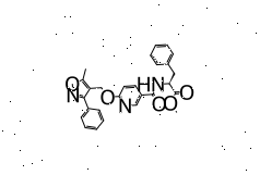 COC(=O)[C@H](Cc1ccccc1)NC(=O)c1ccc(OCc2c(-c3ccccc3)noc2C)nc1